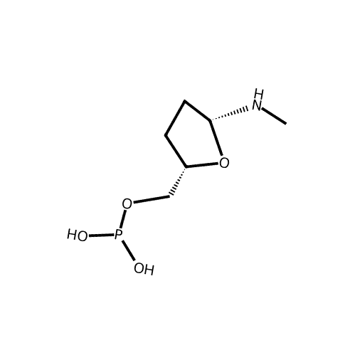 CN[C@H]1CC[C@@H](COP(O)O)O1